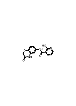 O=C1COc2ccc(NC(=O)c3cccnc3O)cc2N1